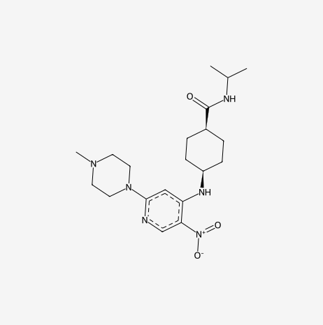 CC(C)NC(=O)[C@H]1CC[C@@H](Nc2cc(N3CCN(C)CC3)ncc2[N+](=O)[O-])CC1